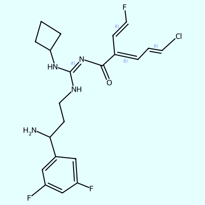 NC(CCN/C(=N\C(=O)C(/C=C/F)=C/C=C/Cl)NC1CCC1)c1cc(F)cc(F)c1